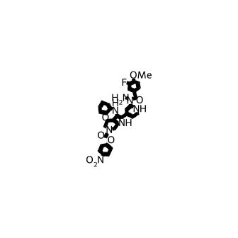 COc1ccc(C(=O)N(N)C2=CC(c3[nH]c4c(c3Nc3ccccc3)C(=O)CN(C(=O)Oc3ccc([N+](=O)[O-])cc3)C4)=CCN2)cc1F